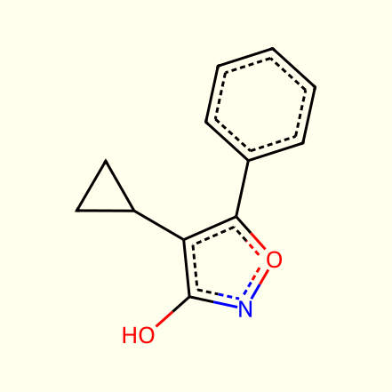 Oc1noc(-c2ccccc2)c1C1CC1